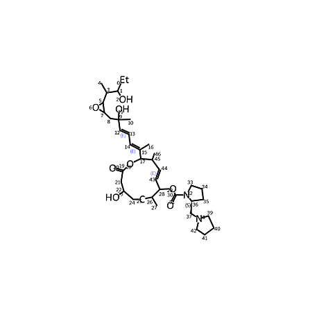 CCC(O)C(C)C1OC1CC(C)(O)/C=C/C=C(\C)C1OC(=O)CC(O)CCC(C)C(OC(=O)N2CCC[C@H]2CN2CCCC2)/C=C/C1C